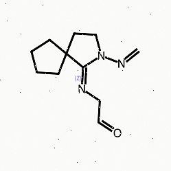 C=NN1CCC2(CCCC2)/C1=N/CC=O